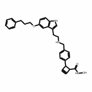 O=C(NO)C1C#CC1c1ccc(CNCCc2c[nH]c3ccc(OCCCc4ccccc4)cc23)cc1